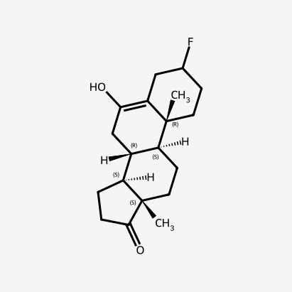 C[C@]12CCC(F)CC1=C(O)C[C@@H]1[C@@H]2CC[C@]2(C)C(=O)CC[C@@H]12